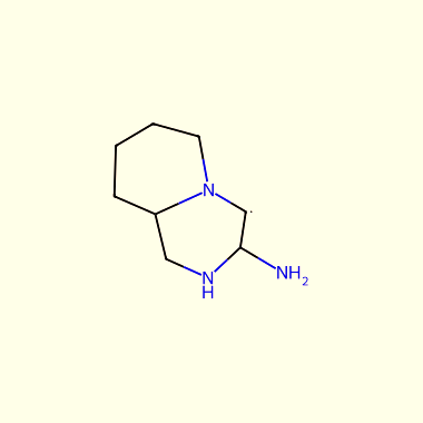 NC1[CH]N2CCCCC2CN1